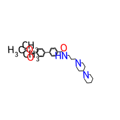 CC(C)(C)OC(=O)c1ccc(-c2ccc(C(=O)NCCCN3CCC(N4CCCCC4)CC3)cc2)cc1